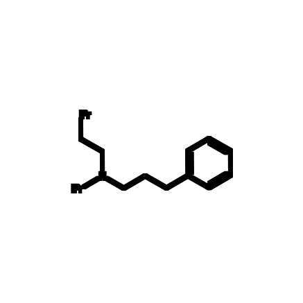 CC(C)CCN(CCCc1ccccc1)C(C)C